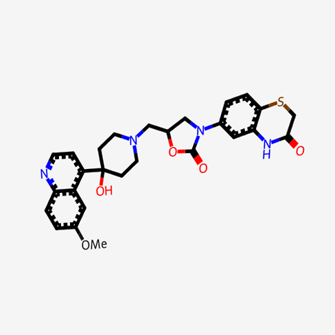 COc1ccc2nccc(C3(O)CCN(CC4CN(c5ccc6c(c5)NC(=O)CS6)C(=O)O4)CC3)c2c1